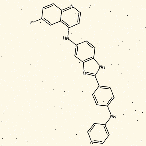 Fc1ccc2nccc(Nc3ccc4[nH]c(-c5ccc(Nc6ccncc6)cc5)nc4c3)c2c1